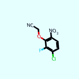 N#CCOc1c([N+](=O)[O-])ccc(Cl)c1F